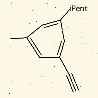 C#Cc1cc(C)cc(C(C)CCC)c1